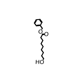 O=C(CCCCCCCCO)OCc1ccccc1